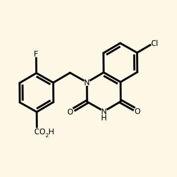 O=C(O)c1ccc(F)c(Cn2c(=O)[nH]c(=O)c3cc(Cl)ccc32)c1